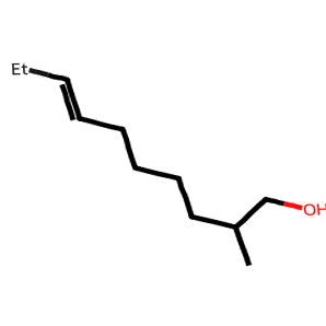 CCC=CCCCCC(C)CO